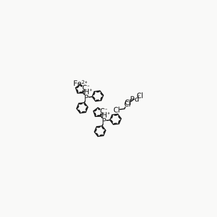 ClCCl.[Cl][Pd][Cl].[Fe+2].c1ccc([PH+](c2ccccc2)c2ccc[cH-]2)cc1.c1ccc([PH+](c2ccccc2)c2ccc[cH-]2)cc1